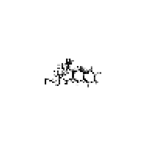 CCOP(=O)(Cc1cc2ccccc2nc1CBr)OCC